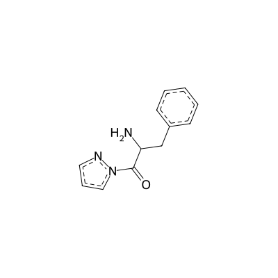 NC(Cc1ccccc1)C(=O)n1cccn1